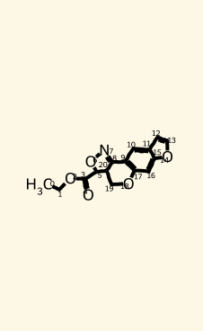 CCOC(=O)C1ON=C2c3cc4ccoc4cc3OCC21